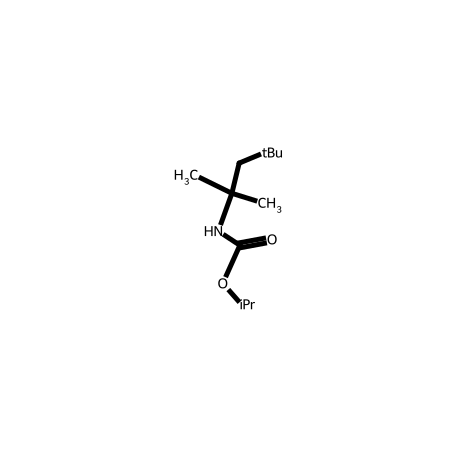 CC(C)OC(=O)NC(C)(C)CC(C)(C)C